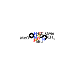 CCCCS(=O)(=O)n1c([S+]([O-])Cc2ncc(C)c(OC)c2C)nc2ccc(OC)cc21